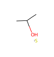 CC(C)O.[S]